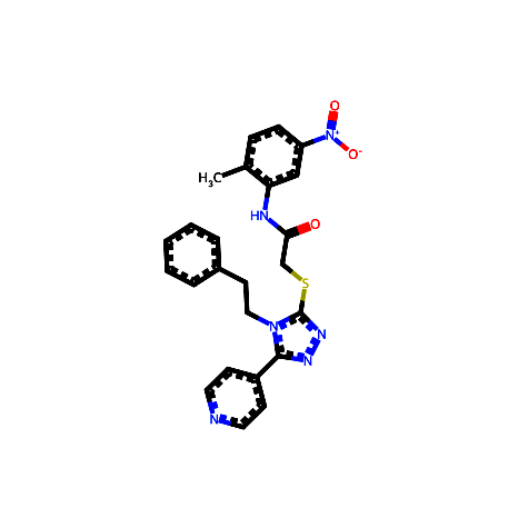 Cc1ccc([N+](=O)[O-])cc1NC(=O)CSc1nnc(-c2ccncc2)n1CCc1ccccc1